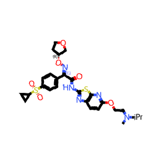 CC(C)N(C)CCOc1ccc2nc(NC(=O)/C(=N/O[C@@H]3CCOC3)c3ccc(S(=O)(=O)C4CC4)cc3)sc2n1